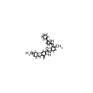 Cc1ccc(NC(=O)c2ccc(CN3CCN(C)CC3)c(F)c2)cc1Nc1ncc(-c2cccnc2)o1